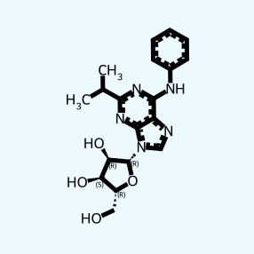 CC(C)c1nc(Nc2ccccc2)c2ncn([C@@H]3O[C@H](CO)[C@@H](O)[C@H]3O)c2n1